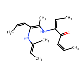 C/C=C\C(=O)/C(=C\C)N/C(C)=C(/C=C\C)N/C(C)=C/C